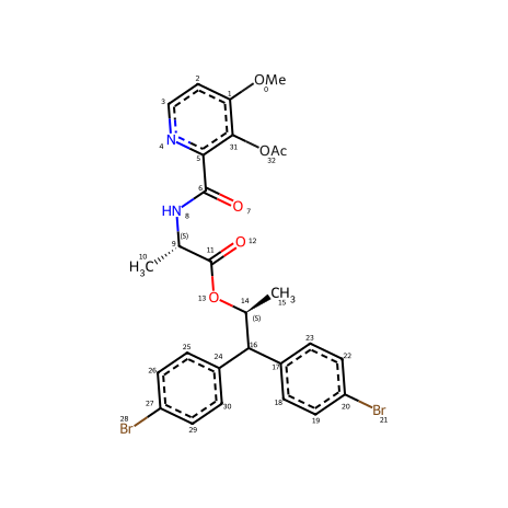 COc1ccnc(C(=O)N[C@@H](C)C(=O)O[C@@H](C)C(c2ccc(Br)cc2)c2ccc(Br)cc2)c1OC(C)=O